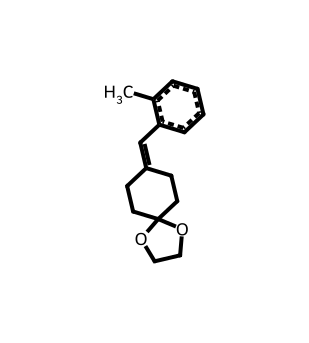 Cc1ccccc1C=C1CCC2(CC1)OCCO2